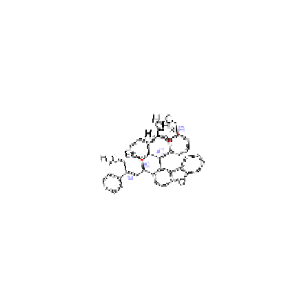 C=C/C(=C\C(=C/CC)c1ccc2oc3ccccc3c2c1/C(c1ccccc1C(C)C/C=C\C)=c1\ccccc1=C)c1ccccc1